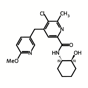 COc1ccc(Cc2cc(C(=O)N[C@H]3CCCC[C@@H]3O)nc(C)c2Cl)cn1